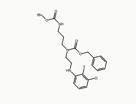 CC(C)(C)OC(=O)NCCCN(CCNc1cccc(Cl)c1F)C(=O)OCc1ccccc1